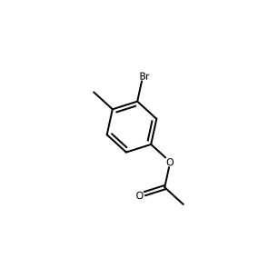 CC(=O)Oc1ccc(C)c(Br)c1